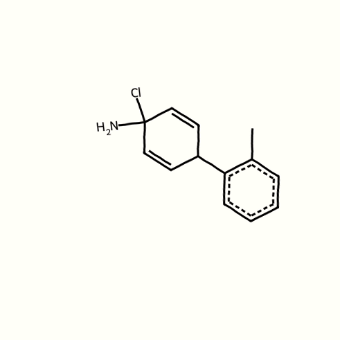 Cc1ccccc1C1C=CC(N)(Cl)C=C1